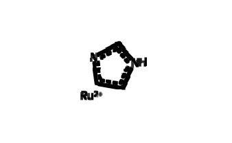 [Ru+2].c1c[nH]cn1